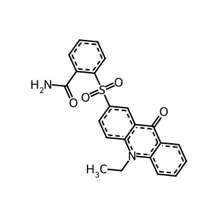 CCn1c2ccccc2c(=O)c2cc(S(=O)(=O)c3ccccc3C(N)=O)ccc21